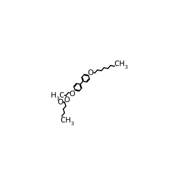 CCCCCCCCOc1ccc(-c2ccc(OCC(C)OC(=O)CCCCC)cc2)cc1